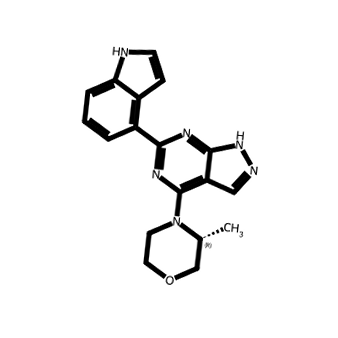 C[C@@H]1COCCN1c1nc(-c2cccc3[nH]ccc23)nc2[nH]ncc12